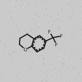 FC(F)(F)c1ccc2c(c1)[CH]CCO2